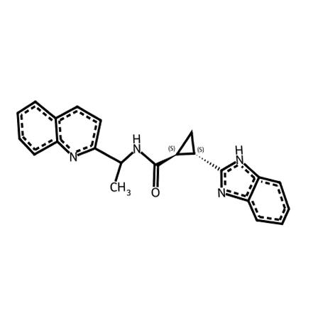 CC(NC(=O)[C@H]1C[C@@H]1c1nc2ccccc2[nH]1)c1ccc2ccccc2n1